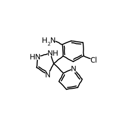 Nc1ccc(Cl)cc1C1(c2ccccn2)N=CNN1